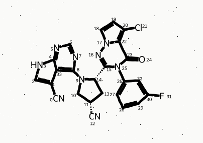 N#Cc1c[nH]c2ncnc(N3C[C@@H](C#N)C[C@H]3c3nn4ccc(Cl)c4c(=O)n3-c3cccc(F)c3)c12